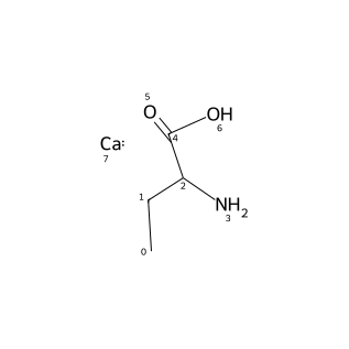 CCC(N)C(=O)O.[Ca]